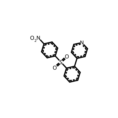 O=[N+]([O-])c1ccc(S(=O)(=O)c2ccccc2-c2ccncc2)cc1